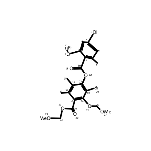 CCCOc1cc(O)cc(C)c1C(=O)Oc1c(C)c(C)c(C(=O)OCOC)c(OCOC)c1Br